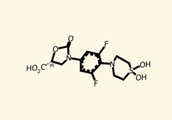 O=C(O)[C@H]1CN(c2cc(F)c(N3CCS(O)(O)CC3)c(F)c2)C(=O)O1